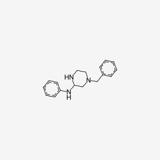 c1ccc(CN2CCNC(Nc3ccccc3)C2)cc1